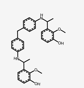 COc1c(O)cccc1C(C)Nc1ccc(Cc2ccc(NC(C)c3cccc(O)c3OC)cc2)cc1